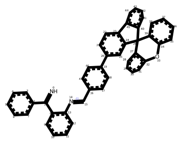 N=C(c1ccccc1)c1ccccc1/N=C/c1ccc(-c2ccc3c(c2)C2(c4ccccc4Oc4ccccc42)c2ccccc2-3)cc1